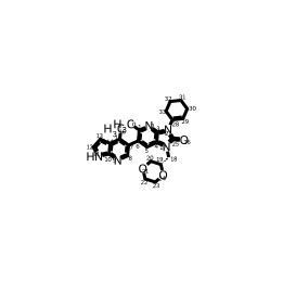 Cc1nc2c(cc1-c1cnc3[nH]ccc3c1C)n(C[C@H]1COCCO1)c(=O)n2C1=CCCCC1